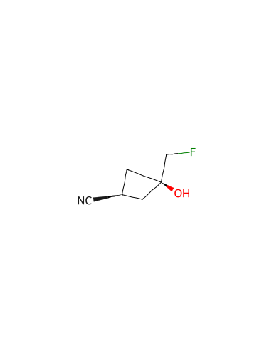 N#C[C@H]1C[C@](O)(CF)C1